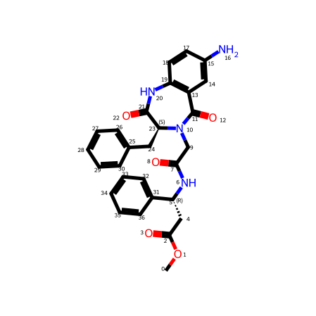 COC(=O)C[C@@H](NC(=O)CN1C(=O)c2cc(N)ccc2NC(=O)[C@@H]1Cc1ccccc1)c1ccccc1